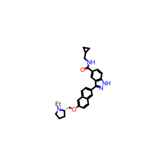 CCN1CCC[C@H]1COc1ccc2cc(-c3n[nH]c4ccc(C(=O)NCC5CC5)cc34)ccc2c1